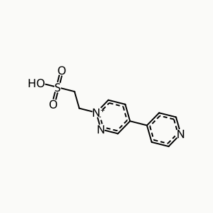 O=S(=O)(O)CC[n+]1ccc(-c2ccncc2)cn1